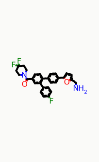 NCc1ccc(-c2ccc(-c3ccc(C(=O)N4CCC(F)(F)CC4)cc3-c3ccc(F)cc3)cc2)o1